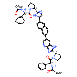 COC(=O)N[C@@H](C(=O)N1CCC[C@H]1c1ncc(-c2ccc3cc(-c4cnc5nc([C@@H]6CCCN6C(=O)[C@H](NC(=O)OC)C6=CCC=CC6)[nH]c5c4)ccc3c2)[nH]1)C1=CCC=CC1